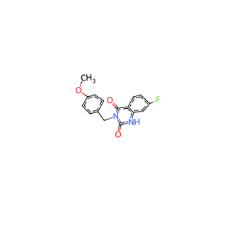 COc1ccc(Cn2c(=O)[nH]c3cc(F)ccc3c2=O)cc1